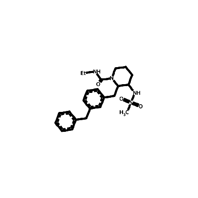 CCNC(=O)N1CCCC(NS(C)(=O)=O)C1Cc1cccc(Cc2ccccc2)c1